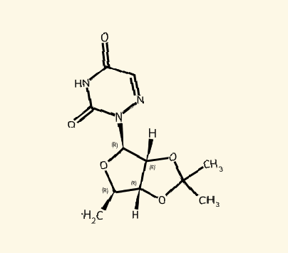 [CH2][C@H]1O[C@@H](n2ncc(=O)[nH]c2=O)[C@@H]2OC(C)(C)O[C@@H]21